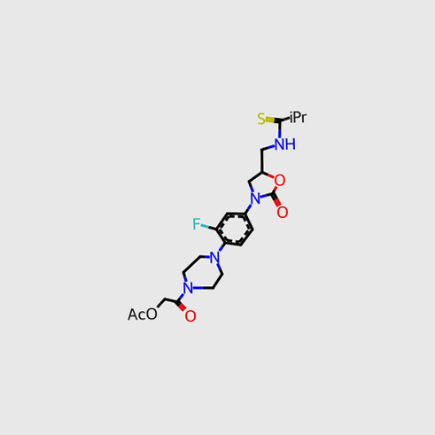 CC(=O)OCC(=O)N1CCN(c2ccc(N3CC(CNC(=S)C(C)C)OC3=O)cc2F)CC1